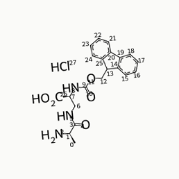 C[C@@H](N)C(=O)NC[C@H](NC(=O)OCC1c2ccccc2-c2ccccc21)C(=O)O.Cl